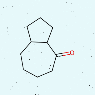 O=C1CCCCC2CCCC12